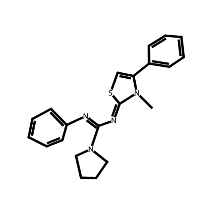 Cn1c(-c2ccccc2)csc1=NC(=Nc1ccccc1)N1CCCC1